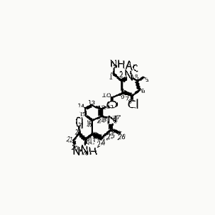 CC(=O)NCc1nc(C)cc(Cl)c1COc1cccc2c(-c3[nH]ncc3Cl)cc(C)nc12